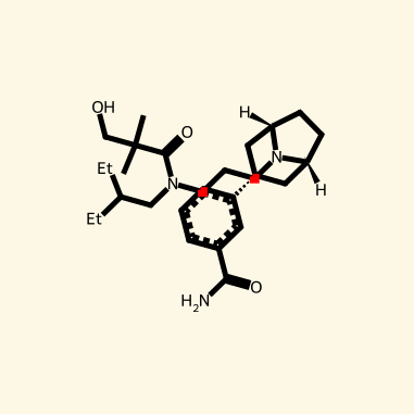 CCC(CC)CN(CCCN1[C@@H]2CC[C@H]1C[C@@H](c1cccc(C(N)=O)c1)C2)C(=O)C(C)(C)CO